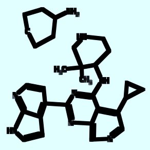 CC1(C)CNCCC1Nc1nc(-c2ccnc3[nH]ccc23)nc2cncc(C3CC3)c12.NC1CCCCC1